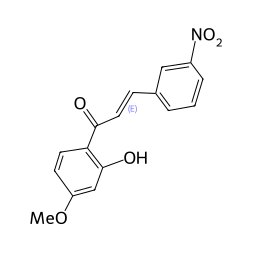 COc1ccc(C(=O)/C=C/c2cccc([N+](=O)[O-])c2)c(O)c1